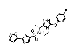 CCn1c(Oc2ccc(F)cc2)nnc1[C@@H](C)NS(=O)(=O)c1ccc(-c2ccno2)s1